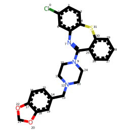 Clc1ccc2c(c1)N=C(N1CCN(Cc3ccc4c(c3)OCO4)CC1)c1ccccc1S2